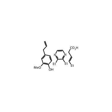 C=CCc1ccc(O)c(OC)c1.CCC=CCC(=O)O.CCc1nccnc1CC